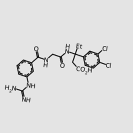 CCC(CC(=O)O)(NC(=O)CNC(=O)c1cccc(NC(=N)N)c1)c1ccc(Cl)c(Cl)c1